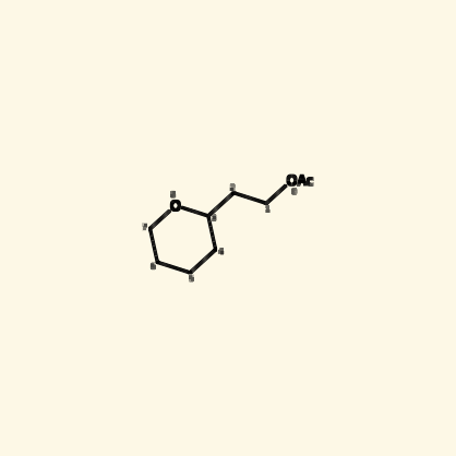 CC(=O)OCCC1CCCCO1